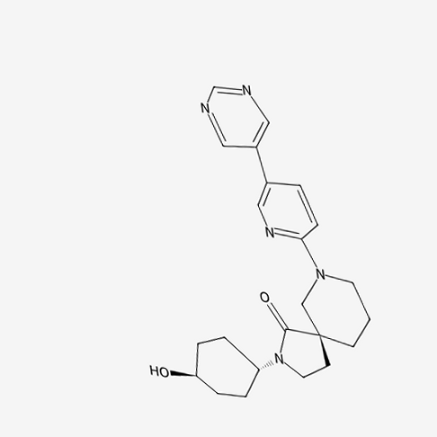 O=C1N([C@H]2CC[C@H](O)CC2)CC[C@@]12CCCN(c1ccc(-c3cncnc3)cn1)C2